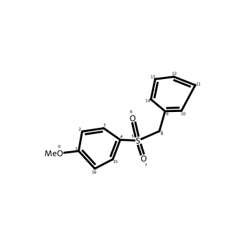 COc1ccc(S(=O)(=O)[CH]c2ccccc2)cc1